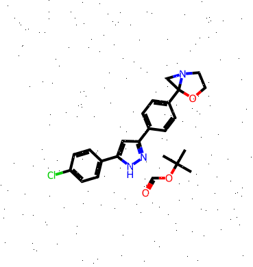 CC(C)(C)OC=O.Clc1ccc(-c2cc(-c3ccc(C45CN4CCO5)cc3)n[nH]2)cc1